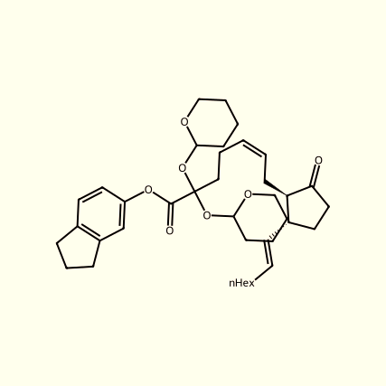 CCCCCC/C=C/[C@H]1CCC(=O)[C@@H]1C/C=C\CCC(OC1CCCCO1)(OC1CCCCO1)C(=O)Oc1ccc2c(c1)CCC2